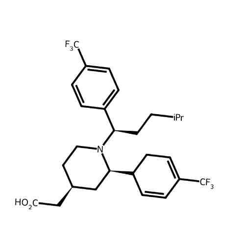 CC(C)CC[C@H](c1ccc(C(F)(F)F)cc1)N1CC[C@H](CC(=O)O)C[C@@H]1C1C=CC(C(F)(F)F)=CC1